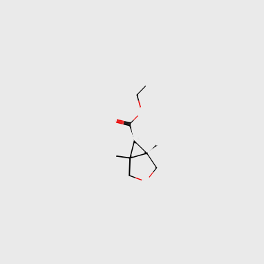 CCOC(=O)[C@H]1[C@@H]2COCC21C